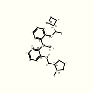 CC(Oc1cccnc1N(N)c1ncccc1OC[C@H]1CCCN1C)[C@H]1CCN1